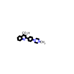 CN1CCN(c2ccc(-c3cc(C(=O)O)c4ccccc4n3)cc2)CC1